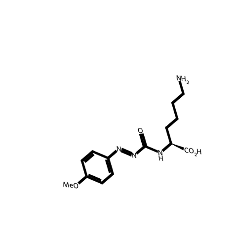 COc1ccc(N=NC(=O)N[C@@H](CCCCN)C(=O)O)cc1